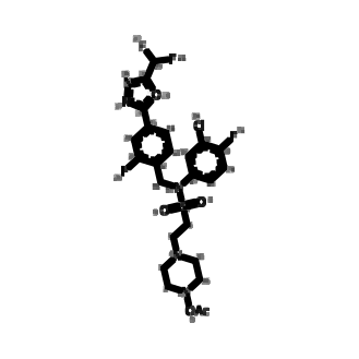 CC(=O)ON1CCN(CCS(=O)(=O)N(Cc2ccc(-c3nnc(C(F)F)o3)cc2F)c2ccc(F)c(Cl)c2)CC1